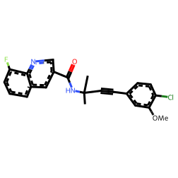 COc1cc(C#CC(C)(C)NC(=O)c2cnc3c(F)cccc3c2)ccc1Cl